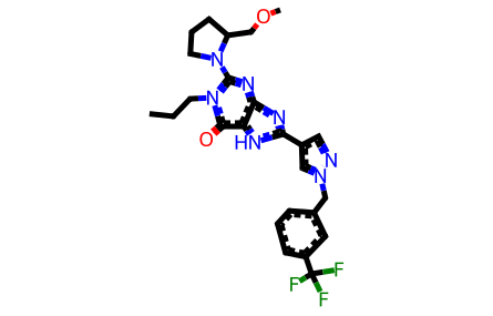 CCCn1c(N2CCCC2COC)nc2nc(-c3cnn(Cc4cccc(C(F)(F)F)c4)c3)[nH]c2c1=O